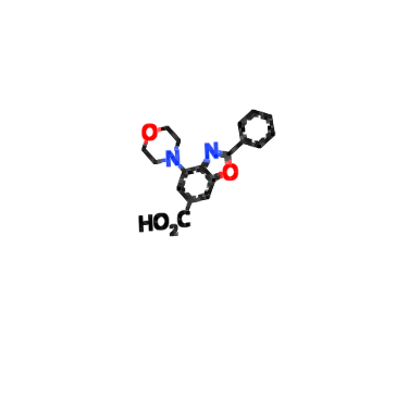 O=C(O)c1cc(N2CCOCC2)c2nc(-c3ccccc3)oc2c1